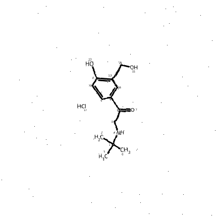 CC(C)(C)NCC(=O)c1ccc(O)c(CO)c1.Cl